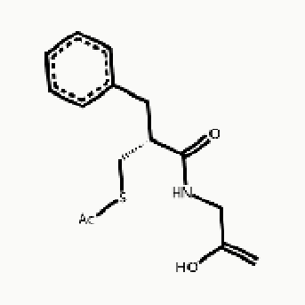 C=C(O)CNC(=O)[C@H](CSC(C)=O)Cc1ccccc1